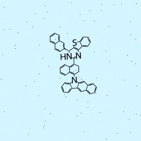 c1ccc2c(c1)=C(C1=Nc3c(sc4ccccc34)[C@H](c3ccc4ccccc4c3)N1)CCC=2n1c2ccccc2c2cc3ccccc3cc21